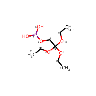 CCOC(COP(O)O)(OCC)OCC